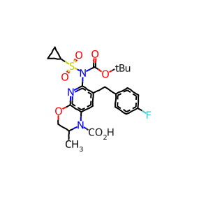 CC1COc2nc(N(C(=O)OC(C)(C)C)S(=O)(=O)C3CC3)c(Cc3ccc(F)cc3)cc2N1C(=O)O